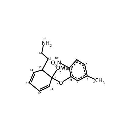 COC1(Oc2cc(C)ccc2[N+](=O)[O-])C=CC=CC1CCN